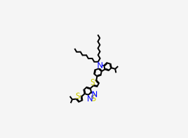 CCCCCCCCC(CCCCCCCC)n1c2ccc(-c3ccc(-c4ccc(-c5ccc(C(C)C)s5)c5nsnc45)s3)cc2c2cc(C(C)C)ccc21